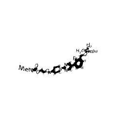 CNC(=O)OCCON=C1CCN(c2ncc(-c3cccc(CO[Si](C)(C)C(C)(C)C)c3F)cn2)CC1